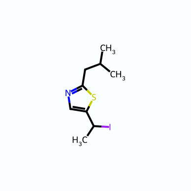 CC(C)Cc1ncc(C(C)I)s1